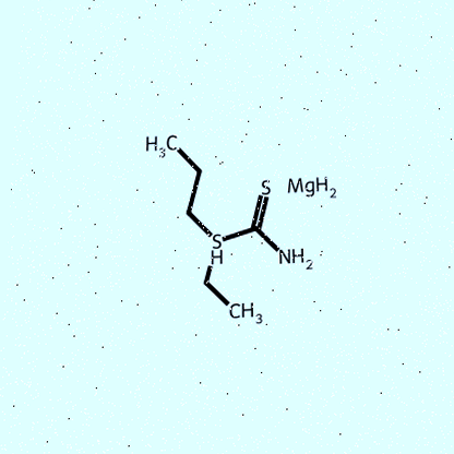 CCC[SH](CC)C(N)=S.[MgH2]